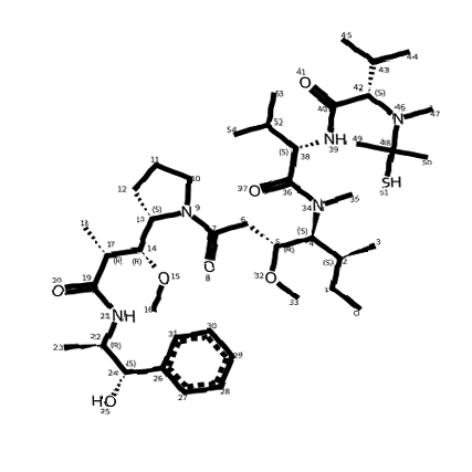 CC[C@H](C)[C@@H]([C@@H](CC(=O)N1CCC[C@H]1[C@H](OC)[C@@H](C)C(=O)N[C@H](C)[C@@H](O)c1ccccc1)OC)N(C)C(=O)[C@@H](NC(=O)[C@H](C(C)C)N(C)C(C)(C)S)C(C)C